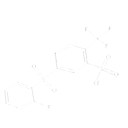 O=S(=O)(Cl)c1cc(S(=O)(=O)c2ccccc2F)ccc1C(F)(F)F